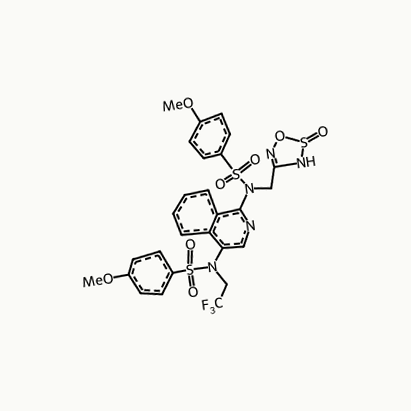 COc1ccc(S(=O)(=O)N(CC(F)(F)F)c2cnc(N(CC3=NOS(=O)N3)S(=O)(=O)c3ccc(OC)cc3)c3ccccc23)cc1